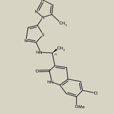 COc1cc2[nH]c(=O)c([C@H](C)Nc3ncc(-n4nncc4C)s3)cc2cc1Cl